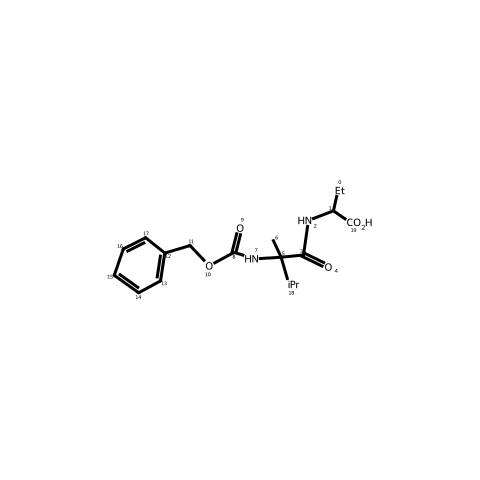 CCC(NC(=O)C(C)(NC(=O)OCc1ccccc1)C(C)C)C(=O)O